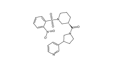 O=C([C@@H]1CCCN(S(=O)(=O)c2ccccc2[N+](=O)[O-])C1)N1CCC(c2cccnc2)C1